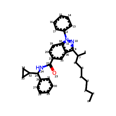 CCCCCCCC(C)c1nn(-c2ccccc2)c2ccc(C(=O)NC(c3ccccc3)C3CC3)cc12